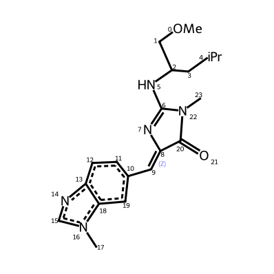 COCC(CC(C)C)NC1=N/C(=C\c2ccc3ncn(C)c3c2)C(=O)N1C